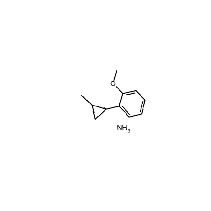 COc1ccccc1C1CC1C.N